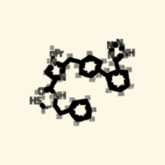 CCCn1cc(C(=O)N[C@@H](CS)Cc2ccccc2)nc1Cc1ccc(-c2ccccc2-c2nnn[nH]2)cc1